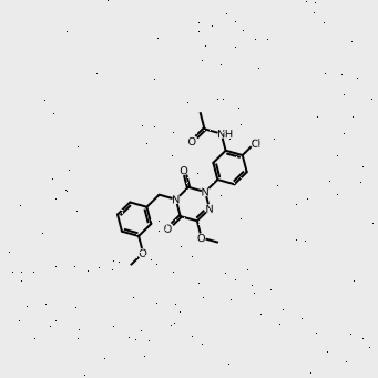 COc1cccc(Cn2c(=O)c(OC)nn(-c3ccc(Cl)c(NC(C)=O)c3)c2=O)c1